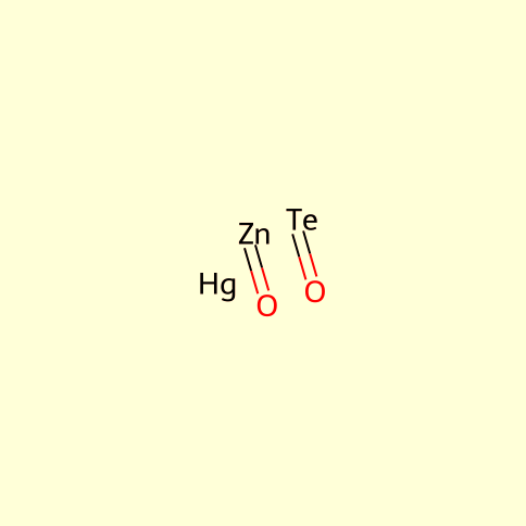 O=[Te].[Hg].[O]=[Zn]